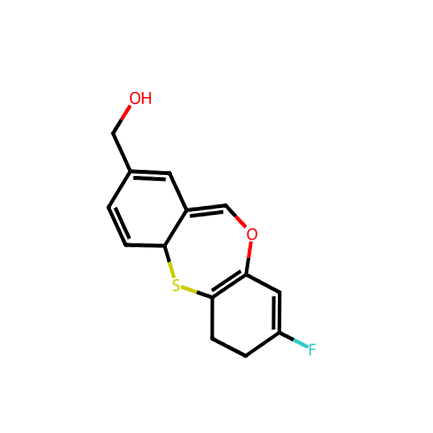 OCC1=CC2=COC3=C(CCC(F)=C3)SC2C=C1